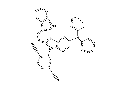 N#Cc1ccc(C#N)c(-n2c3ccc(N(c4ccccc4)c4ccccc4)cc3c3c4[nH]c5ccccc5c4ccc32)c1